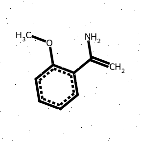 C=C(N)c1ccccc1OC